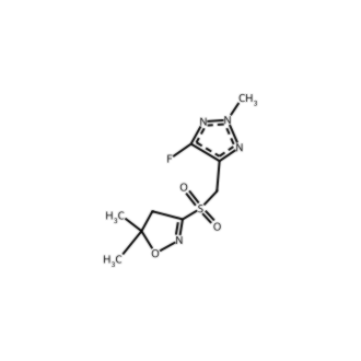 Cn1nc(F)c(CS(=O)(=O)C2=NOC(C)(C)C2)n1